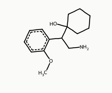 COc1ccccc1C(CN)C1(O)CCCCC1